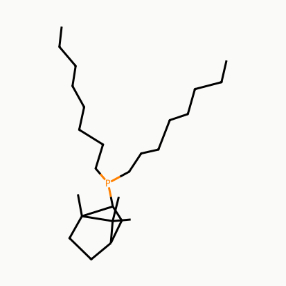 CCCCCCCCP(CCCCCCCC)C1CC2CCC1(C)C2(C)C